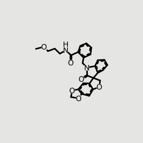 COCCCNC(=O)c1ccccc1CN1C(=O)C2(COc3cc4c(cc32)OCO4)c2ccccc21